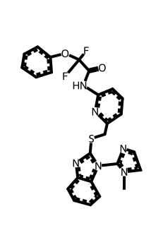 Cn1ccnc1-n1c(SCc2cccc(NC(=O)C(F)(F)Oc3ccccc3)n2)nc2ccccc21